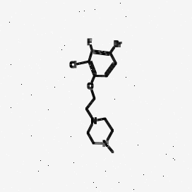 CN1CCN(CCOc2ccc(Br)c(F)c2Cl)CC1